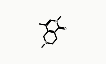 Cc1cn(C)c(=O)c2c1CN(C)CC2